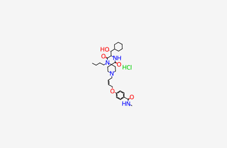 CCCCN1C(=O)[C@@H]([C@H](O)C2CCCCC2)NC(=O)C12CCN(C/C=C\COc1ccc(C(=O)NC)cc1)CC2.Cl